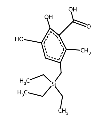 CC[Si](CC)(CC)Cc1cc(O)c(O)c(C(=O)O)c1C